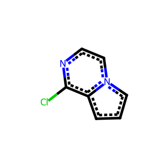 Clc1nccn2cccc12